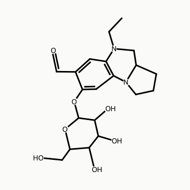 CCN1CC2CCCN2c2cc(OC3OC(CO)C(O)C(O)C3O)c(C=O)cc21